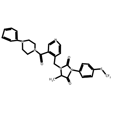 CC1C(=O)N(c2ccc(SC(F)(F)F)cc2)C(=O)N1Cc1ccncc1C(=O)N1CCN(c2ccccc2)CC1